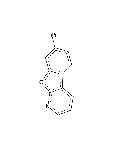 CC(C)c1ccc2c(c1)oc1ncccc12